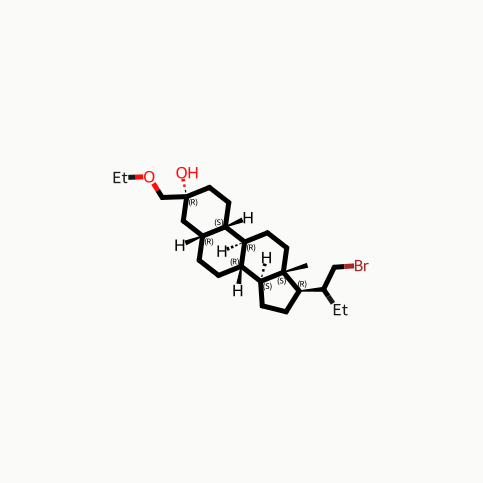 CCOC[C@@]1(O)CC[C@H]2[C@H](CC[C@@H]3[C@@H]2CC[C@]2(C)[C@@H](C(CC)CBr)CC[C@@H]32)C1